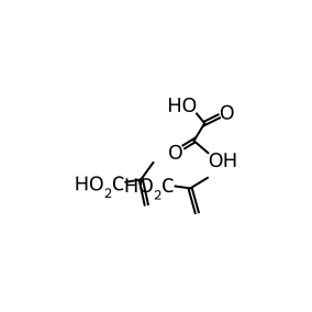 C=C(C)C(=O)O.C=C(C)C(=O)O.O=C(O)C(=O)O